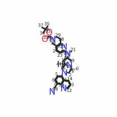 C[C@@H]1CN(c2ccc(C#N)c3ncccc23)C[C@@H]2C[C@@H](N(C)c3ccc4c(n3)CCN(C(=O)OC(C)(C)C)C4)CN21